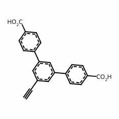 C#Cc1cc(-c2ccc(C(=O)O)cc2)cc(-c2ccc(C(=O)O)cc2)c1